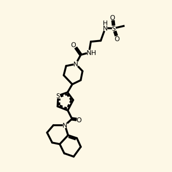 CS(=O)(=O)NCCNC(=O)N1CCC(c2cc(C(=O)N3CCCC4CCCC=C43)cs2)CC1